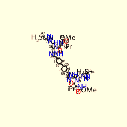 COC(=O)N[C@H](C(=O)N1C[C@H](n2cc([SiH2]C)nn2)C[C@H]1c1ncc(-c2ccc(-c3ccc(-c4cnc([C@@H]5C[C@@H](n6cc([SiH2]C)nn6)CN5C(=O)[C@@H](NC(=O)OC)C(C)C)[nH]4)cc3)cc2)[nH]1)C(C)C